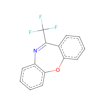 FC(F)(F)C1=Nc2ccccc2Oc2ccccc21